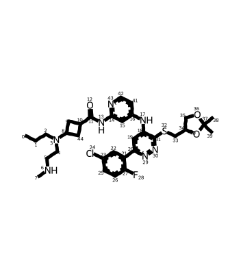 CCCN(CCNC)C1CC(C(=O)Nc2cc(Nc3cc(-c4cc(Cl)ccc4F)nnc3SCC3COC(C)(C)O3)ccn2)C1